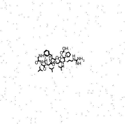 CC(C)C[C@H](NC(=O)[C@H](C)N)C(=O)N[C@@H](CC(C)C)C(=O)N[C@@H](Cc1ccccc1)C(=O)N[C@@H](CC(C)C)C(=O)N[C@@H](CCCNC(=N)N)C(=O)N1CCC[C@H]1C(=O)O